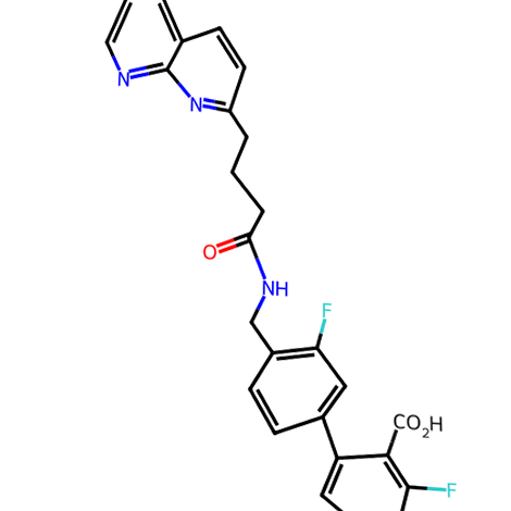 O=C(CCCc1ccc2cccnc2n1)NCc1ccc(-c2cccc(F)c2C(=O)O)cc1F